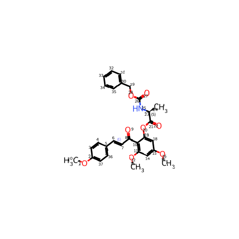 COc1ccc(/C=C/C(=O)c2c(OC)cc(OC)cc2OC(=O)[C@H](C)NC(=O)OCc2ccccc2)cc1